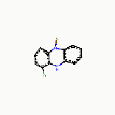 Clc1cccc2c1Nc1ccccc1N2Br